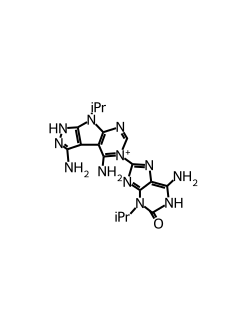 CC(C)n1c2nc(-[n+]3cnc4c(c3N)c3c(N)n[nH]c3n4C(C)C)nc-2c(N)[nH]c1=O